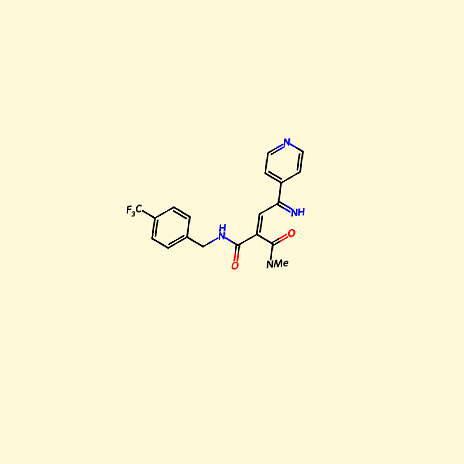 CNC(=O)/C(=C\C(=N)c1ccncc1)C(=O)NCc1ccc(C(F)(F)F)cc1